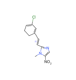 Cn1c([N+](=O)[O-])cnc1/C=C/C1=CC(Cl)=CCC1